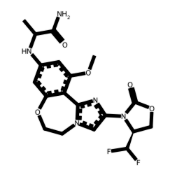 COc1cc(NC(C)C(N)=O)cc2c1-c1nc(N3C(=O)OC[C@H]3C(F)F)cn1CCO2